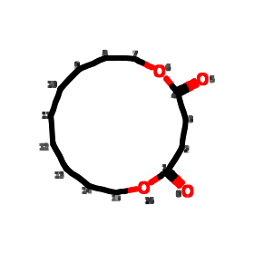 O=C1CCC(=O)OCCCCCCCCCO1